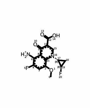 COc1cc(F)c(N)c2c(=O)c(C(=O)O)cn([C@@H]3C[C@H]3F)c12